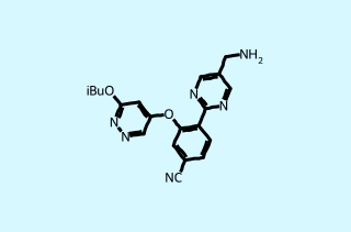 CC(C)COc1cc(Oc2cc(C#N)ccc2-c2ncc(CN)cn2)cnn1